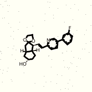 O[C@H]1CC[C@@H]2[C@H](C1)CC1(OCCO1)[C@H]2/C=C/c1ccc(-c2cccc(F)c2)cn1